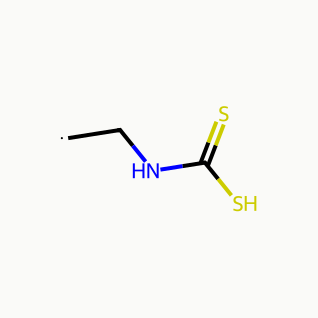 [CH2]CNC(=S)S